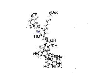 CCCCCCCCCCCCCCCCCC(=O)N[C@@H](CO[C@@H]1OC(CO)[C@@H](O[C@@H]2OC(CO)[C@H](O)C(O[C@]3(C=O)CC(O)[C@@H](NC(C)=O)C([C@H](O)[C@H](O)CO)O3)C2O)C(O)C1O)[C@H](O)/C=C/C(=O)Nc1ccc(SC(F)(F)F)cc1